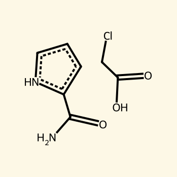 NC(=O)c1ccc[nH]1.O=C(O)CCl